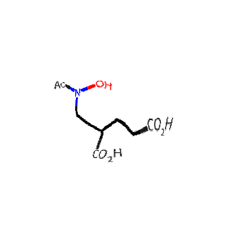 CC(=O)N(O)CC(CCC(=O)O)C(=O)O